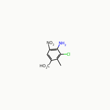 Cc1c(C(=O)O)cc([N+](=O)[O-])c(N)c1Cl